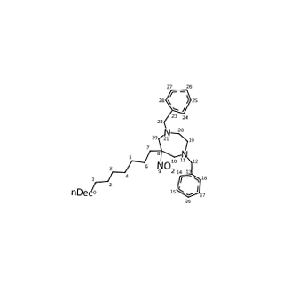 CCCCCCCCCCCCCCCCCC1([N+](=O)[O-])CN(Cc2ccccc2)CCN(Cc2ccccc2)C1